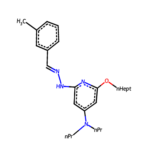 CCCCCCCOc1cc(N(CCC)CCC)cc(N/N=C/c2cccc(C)c2)n1